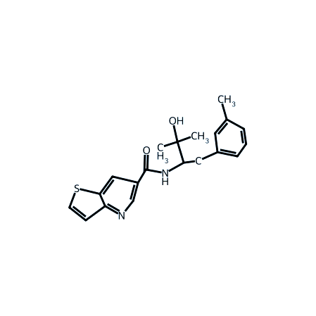 Cc1cccc(CC(NC(=O)c2cnc3ccsc3c2)C(C)(C)O)c1